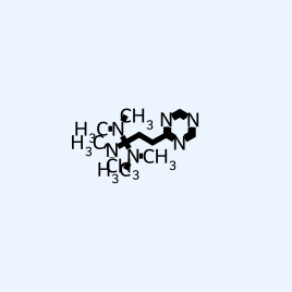 CN(C)C(CCc1ncncn1)(N(C)C)N(C)C